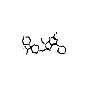 CCn1c(CN2CCC(C(N)=O)(N3CCOCC3)CC2)nc2c(N3CCOCC3)nc(Cl)nc21